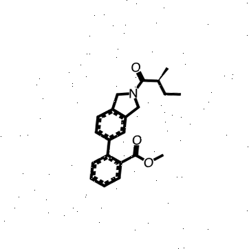 CC[C@H](C)C(=O)N1Cc2ccc(-c3ccccc3C(=O)OC)cc2C1